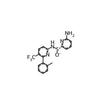 Cc1ccccc1-c1nc(N[S+]([O-])c2cccc(N)n2)ccc1C(F)(F)F